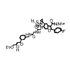 CCOC/C(O)=C/C(=O)c1cccc(CNC(=O)CNC(=O)CN(c2cc3oc(-c4ccc(F)cc4)c(C(=O)NC)c3cc2C2CC2)S(C)(=O)=O)c1